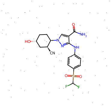 N#C[C@H]1C[C@H](O)CCC1n1cc(C(N)=O)c(Nc2ccc(S(=O)(=O)C(F)F)cc2)n1